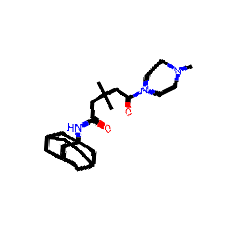 CN1CCN(C(=O)CC(C)(C)CC(=O)NC23CC4CC(CC(C4)C2)C3)CC1